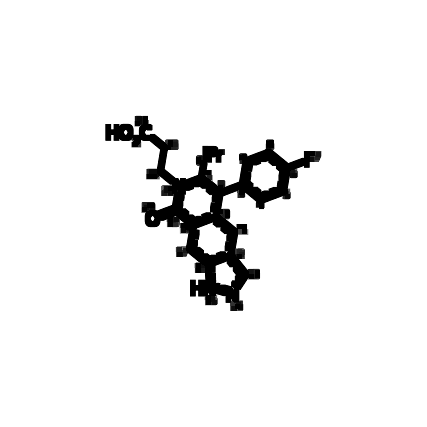 CC(C)c1c(-c2ccc(F)cc2)c2cc3cn[nH]c3cc2c(=O)n1CCC(=O)O